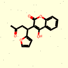 CC(=O)CC(c1ccco1)c1c(O)c2ccccc2oc1=O